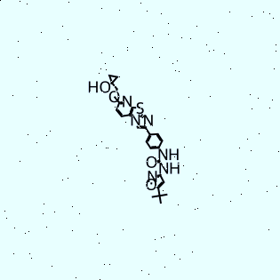 CC(C)(C)c1cc(NC(=O)Nc2ccc(-c3cn4c(n3)sc3nc(OCC5(O)CC5)ccc34)cc2)no1